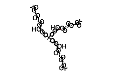 C=C(C)C(=O)OCCOC(=O)CCC(=O)OCC(O)COc1ccc(C(C)(c2ccc(OCC(O)COC(=O)CCC(=O)OCCOC(=O)C(=C)C)cc2)c2ccc(OCC(O)COC(=O)CCC(=O)OCCOC(=O)C(=C)C)cc2)cc1